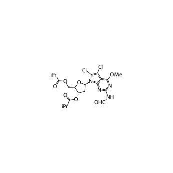 COc1nc(NC=O)nc2c1c(Cl)c(Cl)n2[C@H]1C[C@H](OC(=O)C(C)C)[C@@H](COC(=O)C(C)C)O1